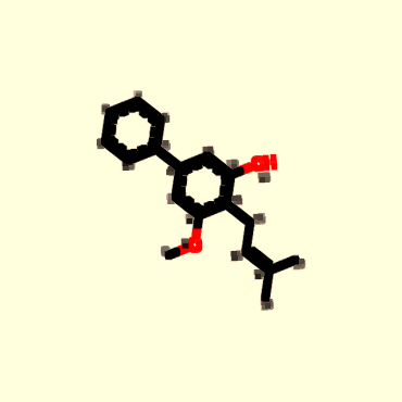 COc1cc(-c2ccccc2)cc(O)c1CC=C(C)C